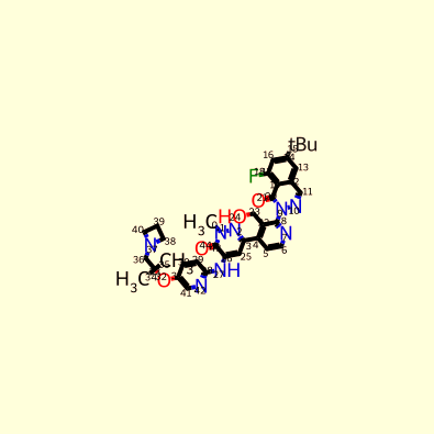 Cn1nc(-c2ccnc(-n3ncc4cc(C(C)(C)C)cc(F)c4c3=O)c2CO)cc(Nc2ccc(OC(C)(C)CN3CCC3)cn2)c1=O